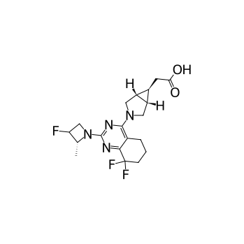 C[C@@H]1C(F)CN1c1nc(N2C[C@@H]3[C@@H](CC(=O)O)[C@@H]3C2)c2c(n1)C(F)(F)CCC2